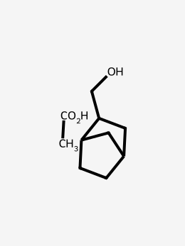 CC(=O)O.OCC1CC2CCC1C2